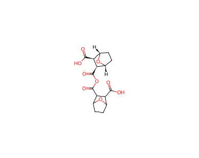 O=C(O)C1C2CCC(O2)C1C(=O)OC(=O)[C@H]1[C@@H](C(=O)O)[C@@H]2CC[C@H]1O2